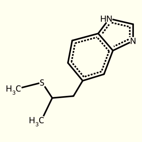 CSC(C)Cc1ccc2[nH]cnc2c1